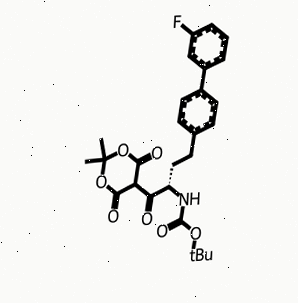 CC(C)(C)OC(=O)N[C@@H](CCc1ccc(-c2cccc(F)c2)cc1)C(=O)C1C(=O)OC(C)(C)OC1=O